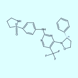 O=[SH]1(c2ccc(Nc3ncc(C(F)(F)F)c(N4OCC[C@H]4c4ccccc4)n3)cc2)CCCN1